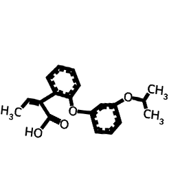 CC=C(C(=O)O)c1ccccc1Oc1cccc(OC(C)C)c1